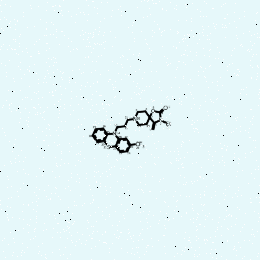 C=C1N(CC)C(=O)OC12CCN(CCCN1c3ccccc3Sc3ccc(C(F)(F)F)cc31)CC2